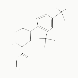 CCC(CC(N)C(=O)OC)c1ccc(C(F)(F)F)cc1C(F)(F)F